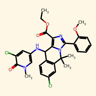 CCOC(=O)c1nc(-c2ccccc2OC)n2c1C(Nc1cc(Cl)c(=O)n(C)c1)c1ccc(Cl)cc1C2(C)C